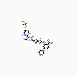 CC(C)(O)COC1=CN/C(=C(\C=N)C(=O)NC2CC3(C2)CC(Oc2cc(-c4ccncc4)ccc2C(N)=O)C3)C=C1